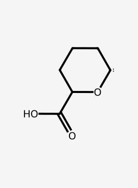 O=C(O)C1CCC[C]O1